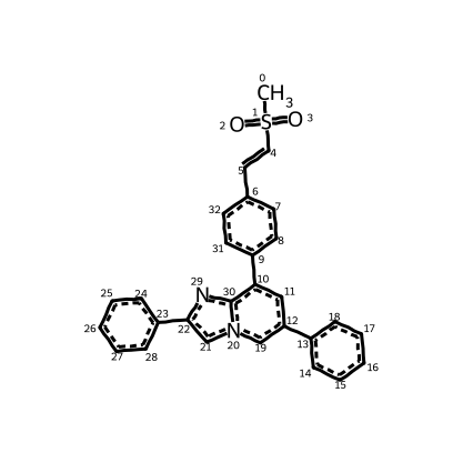 CS(=O)(=O)C=Cc1ccc(-c2cc(-c3ccccc3)cn3cc(-c4ccccc4)nc23)cc1